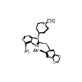 Nc1ncnc2c1nc(Sc1cc3c(cc1Br)OCO3)n2C1CCN(C=O)CC1